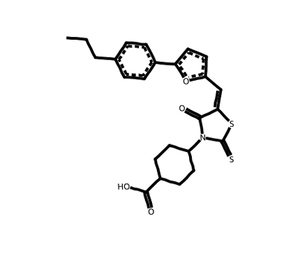 CCCc1ccc(-c2ccc(C=C3SC(=S)N(C4CCC(C(=O)O)CC4)C3=O)o2)cc1